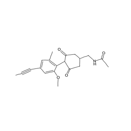 CC#Cc1cc(C)c(C2C(=O)CC(CNC(C)=O)CC2=O)c(OC)c1